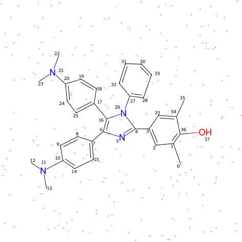 Cc1cc(-c2nc(-c3ccc(N(C)C)cc3)c(-c3ccc(N(C)C)cc3)n2-c2ccccc2)cc(C)c1O